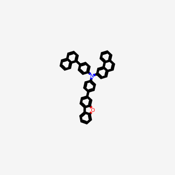 c1ccc2c(-c3ccc(N(c4ccc(-c5ccc6c(c5)oc5ccccc56)cc4)c4ccc5ccc6ccccc6c5c4)cc3)cccc2c1